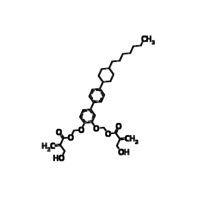 C=C(CO)C(=O)OCOc1ccc(-c2ccc(C3CCC(CCCCCCC)CC3)cc2)cc1OCOC(=O)C(=C)CO